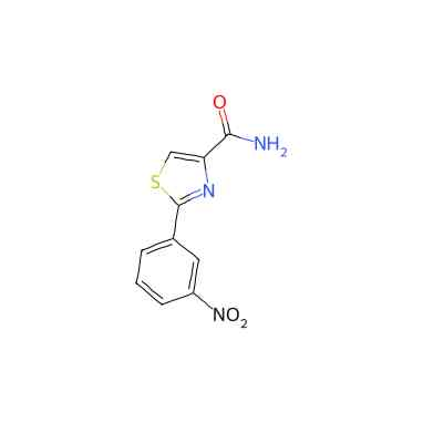 NC(=O)c1csc(-c2cccc([N+](=O)[O-])c2)n1